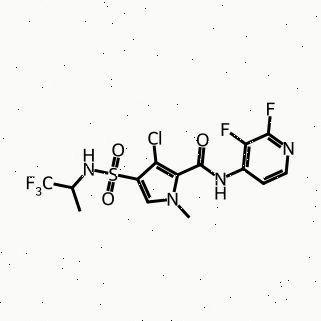 CC(NS(=O)(=O)c1cn(C)c(C(=O)Nc2ccnc(F)c2F)c1Cl)C(F)(F)F